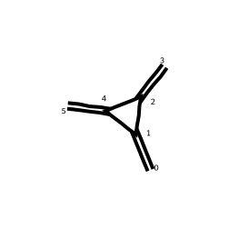 C=C1C(=C)C1=C